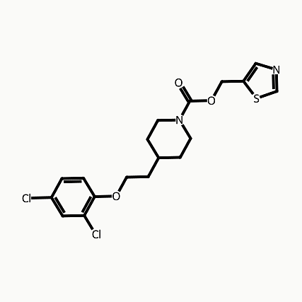 O=C(OCc1cncs1)N1CCC(CCOc2ccc(Cl)cc2Cl)CC1